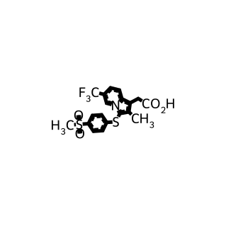 Cc1c(CC(=O)O)c2ccc(C(F)(F)F)cn2c1Sc1ccc(S(C)(=O)=O)cc1